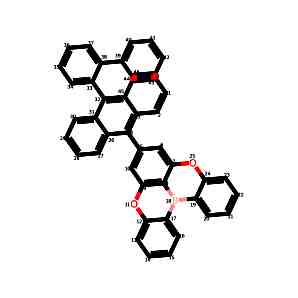 c1ccc2c(-c3cc4c5c(c3)Oc3ccccc3B5c3ccccc3O4)c3ccccc3c(-c3ccccc3C3=CC=CCC3)c2c#1